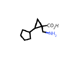 NCC1(C(=O)O)CC1C1CCCC1